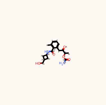 Cc1cccc(CC(=O)C(C)OC(N)=O)c1C(=O)NC1CC(CO)C1